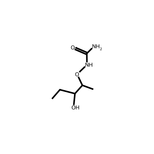 CCC(O)C(C)ONC(N)=O